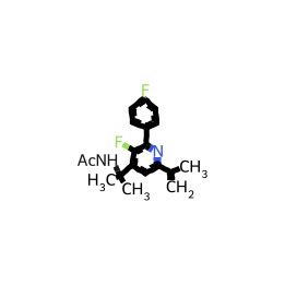 C=C(C)c1cc(C(C)(C)NC(C)=O)c(F)c(-c2ccc(F)cc2)n1